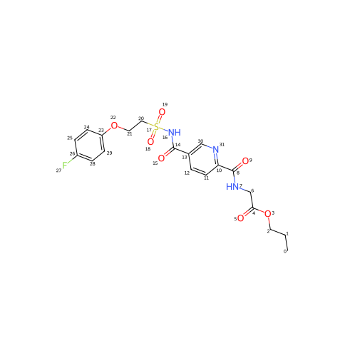 CCCOC(=O)CNC(=O)c1ccc(C(=O)NS(=O)(=O)CCOc2ccc(F)cc2)cn1